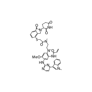 C=CC(=O)Nc1cc(Nc2nccc(-c3cn(C)c4ccccc34)n2)c(OC)cc1N(C)CCN(C)C(=O)CSc1cccc2c1CN(C1CCC(=O)NC1=O)C2=O